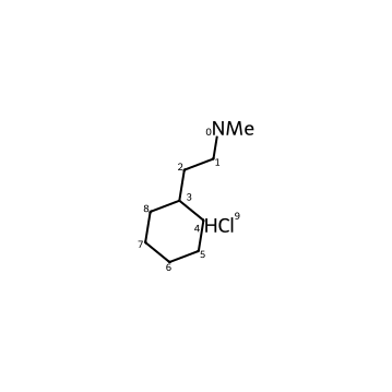 CNCCC1CCCCC1.Cl